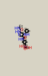 CCNC(=O)Nc1cc(Nc2ccccc2)c(C(=O)Nc2ccc(CP(=O)(O)O)cc2)cn1